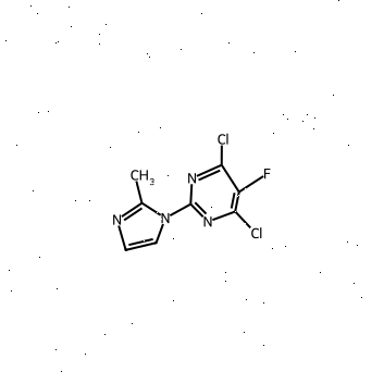 Cc1nccn1-c1nc(Cl)c(F)c(Cl)n1